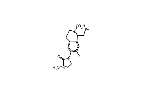 CC(C)CC1c2cc(Cl)c(N3CC[C@H](N)C3=O)cc2CCN1C(=O)O